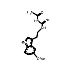 COc1ccc2[nH]cc(CCNC(=N)NC(N)=O)c2c1